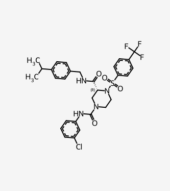 CC(C)c1ccc(CNC(=O)[C@H]2CN(C(=O)Nc3cccc(Cl)c3)CCN2S(=O)(=O)c2ccc(C(F)(F)F)cc2)cc1